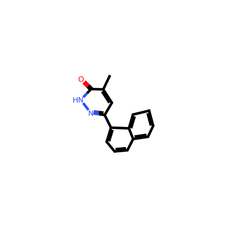 Cc1cc(-c2cccc3ccccc23)n[nH]c1=O